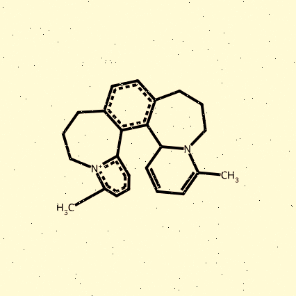 CC1=CC=CC2c3c(ccc4c3-c3cccc(C)[n+]3CCC4)CCCN12